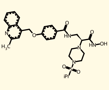 Cc1cc(COc2ccc(C(=O)NC[C@@H](C(=O)NO)N3CCN(S(=O)(=O)C(C)C)CC3)cc2)c2ccccc2n1